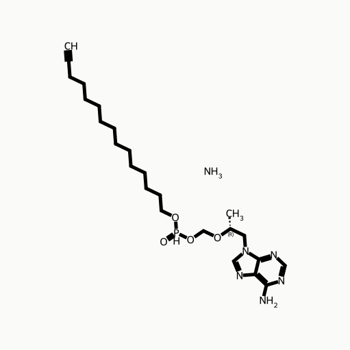 C#CCCCCCCCCCCCCCO[PH](=O)OCO[C@H](C)Cn1cnc2c(N)ncnc21.N